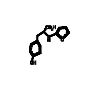 O=C(O)[C@H](Cc1ccc(O)cc1)Nc1ccco1